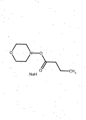 CCCC(=O)ON1CCOCC1.[NaH]